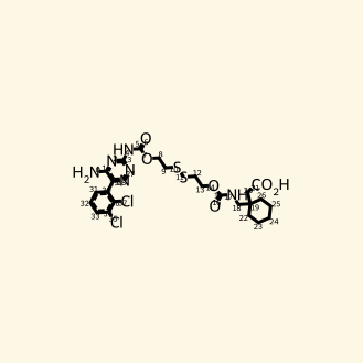 Nc1nc(NC(=O)OCCSSCCOC(=O)NCC2(CC(=O)O)CCCCC2)nnc1-c1cccc(Cl)c1Cl